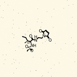 CC[C@H](C)[C@H](NS(C)(=O)=O)C(=O)NCCN1C(=O)C=CC1=O